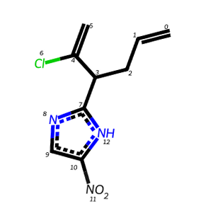 C=CCC(C(=C)Cl)c1ncc([N+](=O)[O-])[nH]1